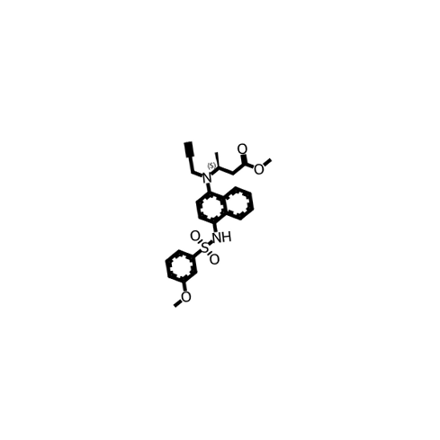 C#CCN(c1ccc(NS(=O)(=O)c2cccc(OC)c2)c2ccccc12)[C@@H](C)CC(=O)OC